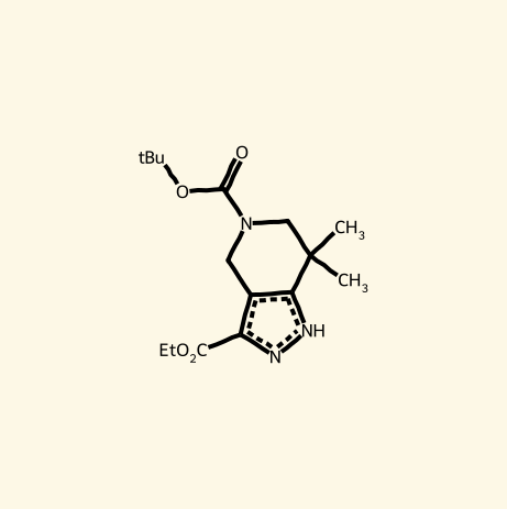 CCOC(=O)c1n[nH]c2c1CN(C(=O)OC(C)(C)C)CC2(C)C